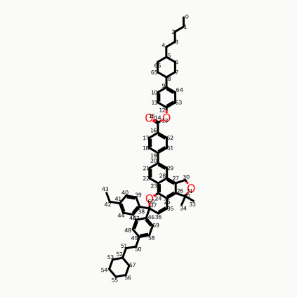 CCCCCC1CCC(c2ccc(OC(=O)c3ccc(-c4ccc5c6c(c7c(c5c4)COC7(C)C)C=CC(c4ccc(CC)cc4)(c4ccc(CCC5CCCCC5)cc4)O6)cc3)cc2)CC1